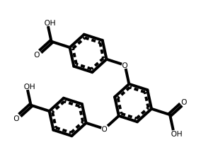 O=C(O)c1ccc(Oc2cc(Oc3ccc(C(=O)O)cc3)cc(C(=O)O)c2)cc1